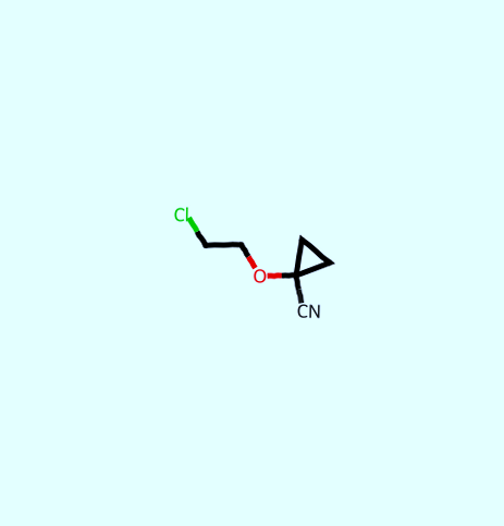 N#CC1(OCCCl)CC1